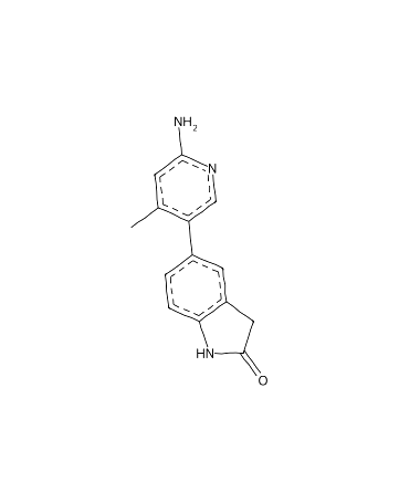 Cc1cc(N)ncc1-c1ccc2c(c1)CC(=O)N2